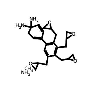 C.N.NC1(N)C=CC(c2cc(CC3CO3)c(CC3CO3)c(CC3CO3)c2CC2CO2)=CC1